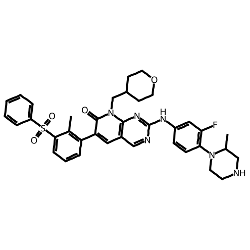 Cc1c(-c2cc3cnc(Nc4ccc(N5CCNCC5C)c(F)c4)nc3n(CC3CCOCC3)c2=O)cccc1S(=O)(=O)c1ccccc1